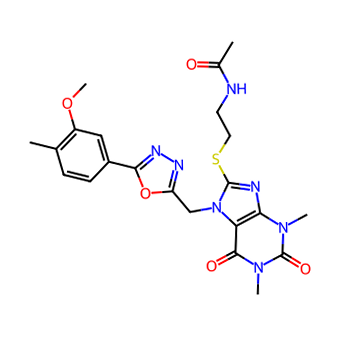 COc1cc(-c2nnc(Cn3c(SCCNC(C)=O)nc4c3c(=O)n(C)c(=O)n4C)o2)ccc1C